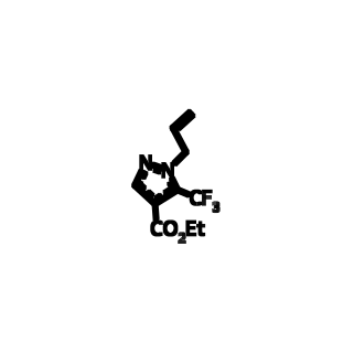 C=CCn1ncc(C(=O)OCC)c1C(F)(F)F